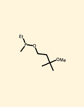 CCP(C)OCCC(C)(C)OC